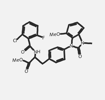 COC(=O)C(Cc1ccc(-n2c(=O)n(C)c3cccc(OC)c32)cc1)NC(=O)c1c(F)cccc1Cl